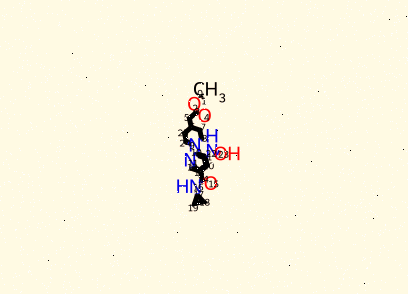 CCOC(=O)CC1CCN(c2ncc(C(=O)NC3CC3)cc2NO)CC1